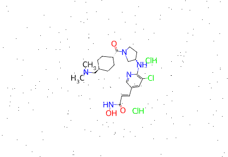 CN(C)C[C@H]1CC[C@H](C(=O)N2CC[C@@H](Nc3ncc(C=CC(=O)NO)cc3Cl)C2)CC1.Cl.Cl